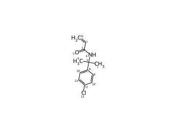 C=CC(=O)NC(C)(C)c1ccc(Cl)cc1